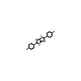 Cc1ccc(-c2nc3sc(-c4ccc(C)cc4)nc3s2)cc1